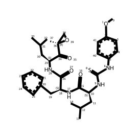 COc1ccc(NC(=S)N[C@@H](CC(C)C)C(=O)N[C@@H](Cc2ccccc2)C(=O)N[C@@H](CC(C)C)C(=O)[C@@]2(C)CO2)cc1